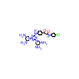 N[C@@H]1C[C@H](N)CN(c2nc(Nc3ccc(C(=O)CC(=O)N(F)c4ccc(Cl)cc4)cc3)nc(N3C[C@H](N)C[C@H](N)C3)n2)C1